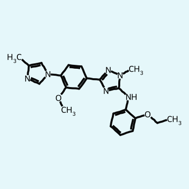 CCOc1ccccc1Nc1nc(-c2ccc(-n3cnc(C)c3)c(OC)c2)nn1C